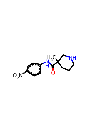 CC1(C(=O)Nc2ccc([N+](=O)[O-])cc2)CCCNC1